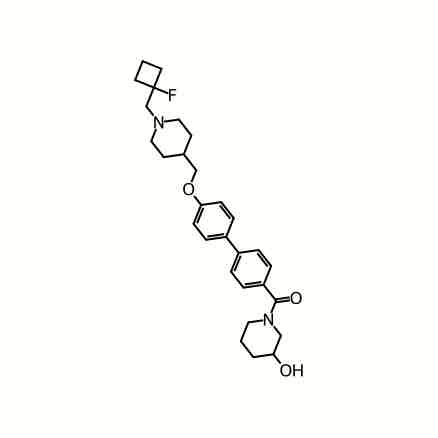 O=C(c1ccc(-c2ccc(OCC3CCN(CC4(F)CCC4)CC3)cc2)cc1)N1CCCC(O)C1